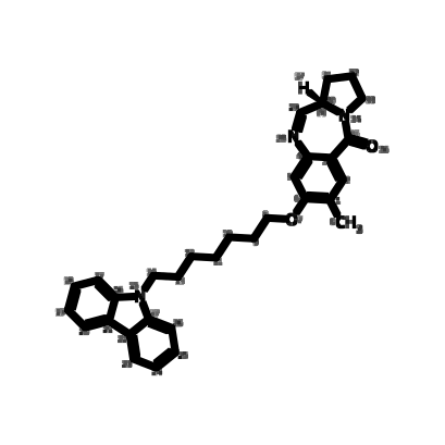 Cc1cc2c(cc1OCCCCCCCn1c3ccccc3c3ccccc31)N=C[C@@H]1CCCN1C2=O